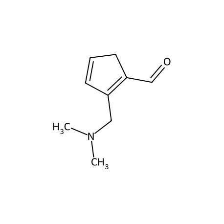 CN(C)CC1=C(C=O)CC=C1